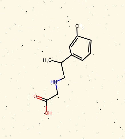 Cc1cccc(C(C)CNCC(=O)O)c1